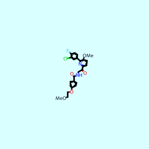 COCCOc1ccc(C(=O)NCC(=O)c2ccc(OC)c(-c3ccc(F)c(Cl)c3)n2)cc1